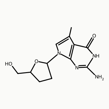 Cc1cn(C2CCC(CO)O2)c2nc(N)[nH]c(=O)c12